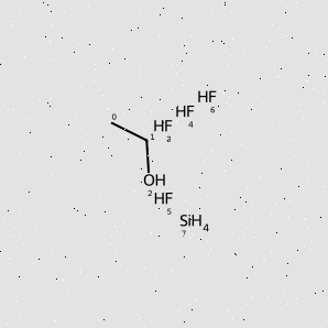 CCO.F.F.F.F.[SiH4]